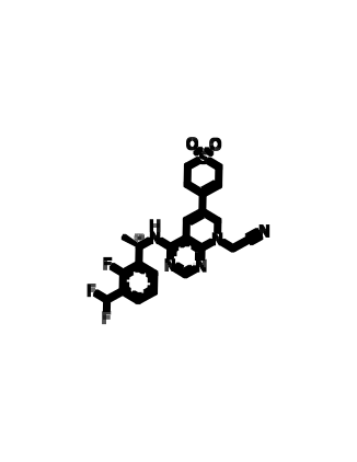 C[C@@H](Nc1ncnc2c1C=C(C1=CCS(=O)(=O)CC1)CN2CC#N)c1cccc(C(F)F)c1F